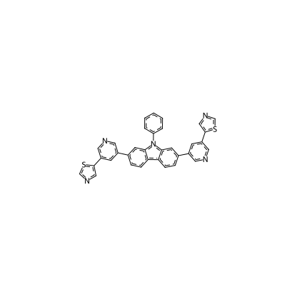 c1ccc(-n2c3cc(-c4cncc(-c5cncs5)c4)ccc3c3ccc(-c4cncc(-c5cncs5)c4)cc32)cc1